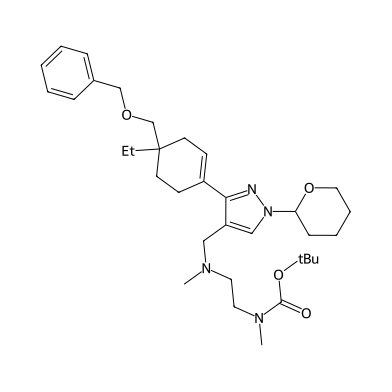 CCC1(COCc2ccccc2)CC=C(c2nn(C3CCCCO3)cc2CN(C)CCN(C)C(=O)OC(C)(C)C)CC1